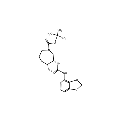 CC(C)(C)OC(=O)N1CCC[C@@H](N)[C@@H](NC(=S)Nc2cccc3c2OCO3)C1